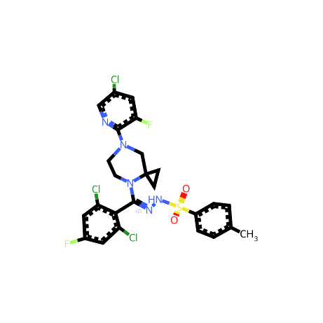 Cc1ccc(S(=O)(=O)N/N=C(/c2c(Cl)cc(F)cc2Cl)N2CCN(c3ncc(Cl)cc3F)CC23CC3)cc1